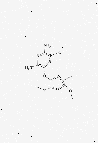 COc1cc(C(C)C)c(Oc2c[n+](O)c(N)nc2N)cc1I